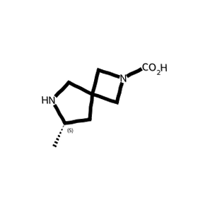 C[C@H]1CC2(CN1)CN(C(=O)O)C2